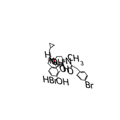 Br.CN(C(=O)Cc1ccc(Br)cc1)[C@H]1CC[C@@]2(O)[C@H]3Cc4ccc(O)c5c4[C@@]2(CCN3CC2CC2)[C@H]1O5